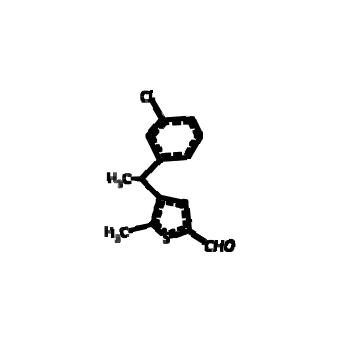 Cc1sc(C=O)cc1C(C)c1cccc(Cl)c1